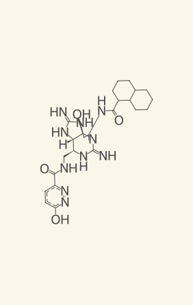 N=C1N[C@H]2[C@H](CNC(=O)c3ccc(O)nn3)NC(=N)N3CC(NC(=O)C4CCCC5CCCCC54)[C@@H](O)C23N1